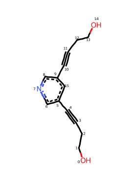 OCCC#Cc1cncc(C#CCCO)c1